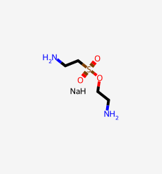 NCCOS(=O)(=O)CCN.[NaH]